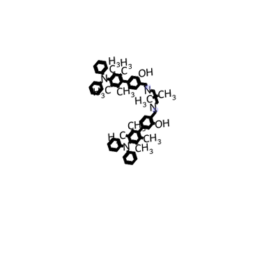 Cc1c(C)c(N(c2ccccc2)c2ccccc2)c(C)c(C)c1-c1ccc(/C=N/CC(C)(C)C/N=C/c2ccc(-c3c(C)c(C)c(N(c4ccccc4)c4ccccc4)c(C)c3C)cc2O)c(O)c1